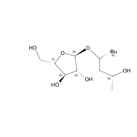 CC[C@@H](C)C(C[C@@H](C)O)O[C@@H]1O[C@@H](CO)[C@H](O)[C@H]1O